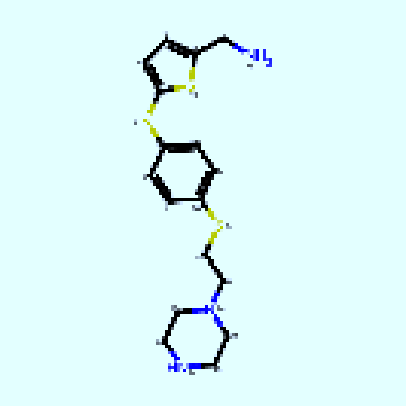 NCc1ccc(Sc2ccc(SCCN3CCNCC3)cc2)s1